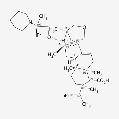 CC(C)[C@@H](C)[C@@]1(C)CC[C@]2(C)[C@H]3CC[C@@H]4[C@@]5(COC[C@]4(C)[C@@H](OC[C@](C)(C(C)C)N4CCCCC4)[C@H](C)C5)C3=CC[C@@]2(C)[C@@H]1C(=O)O